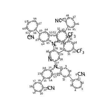 N#Cc1ccccc1-c1ccc2c(c1)c1cc(-c3ccccc3C#N)ccc1n2-c1cc(-c2cc(C(F)(F)F)cc(C(F)(F)F)c2)c(-n2c3ccc(-c4ccccc4C#N)cc3c3cc(-c4ccccc4C#N)ccc32)cn1